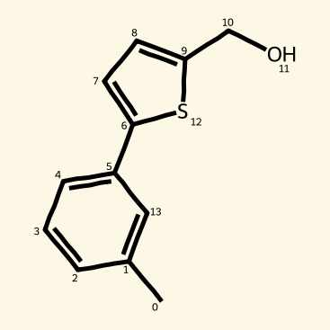 Cc1cccc(-c2ccc(CO)s2)c1